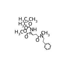 COC(=O)[C@H](CCC(=O)N(C)CCc1ccccc1)NC(=O)OC(C)(C)C